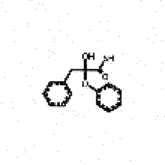 O=C(S)C(O)(Cc1ccccc1)Oc1ccccc1